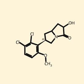 COc1ccc(Cl)c(Cl)c1[C@H]1CC2CC(O)C(=O)N2C1